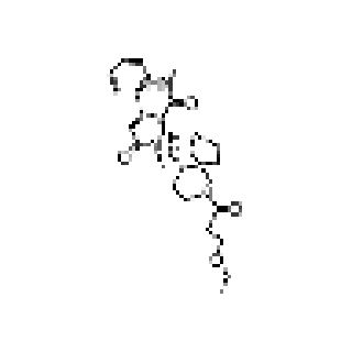 CCOCCC(=O)N1CCC(O)(Cn2cc(C(=O)NC)c(-c3ccccc3)cc2=O)C2(CCCC2)C1